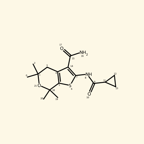 CC1(C)Cc2c(sc(NC(=O)C3CC3)c2C(N)=O)C(C)(C)O1